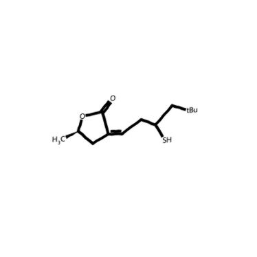 C[C@@H]1C/C(=C/CC(S)CC(C)(C)C)C(=O)O1